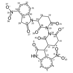 O=C1Nc2cccc([N+](=O)[O-])c2C1C1CCC(=O)N(N2C(=O)CCC(N3C(=O)Cc4c3cccc4[N+](=O)[O-])C2=O)C1=O